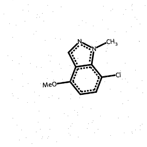 COc1ccc(Cl)c2c1cnn2C